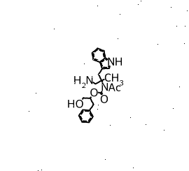 CC(=O)N(C(=O)OC(CO)Cc1ccccc1)C(C)(CN)Cc1c[nH]c2ccccc12